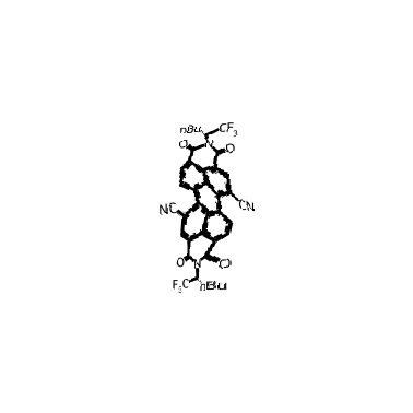 CCCC[C@@H](N1C(=O)c2ccc3c4c(C#N)cc5c6c(ccc(c7c(C#N)cc(c2c37)C1=O)c64)C(=O)N([C@H](CCCC)C(F)(F)F)C5=O)C(F)(F)F